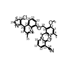 COc1cc(C)nc(Cn2cccc(C#N)c2=O)c1COc1cccc2c(-c3ncsc3Cl)cc(C)nc12